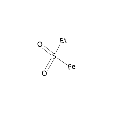 CC[S](=O)(=O)[Fe]